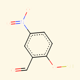 O=Cc1cc([N+](=O)[O-])ccc1OS